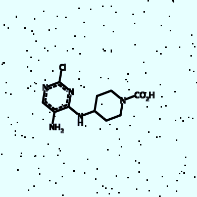 Nc1cnc(Cl)nc1NC1CCN(C(=O)O)CC1